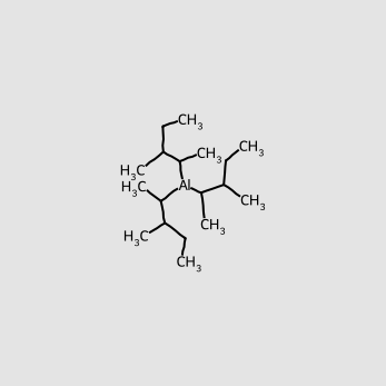 CCC(C)[CH](C)[Al]([CH](C)C(C)CC)[CH](C)C(C)CC